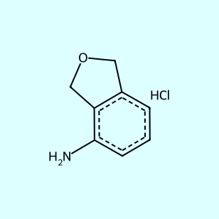 Cl.Nc1cccc2c1COC2